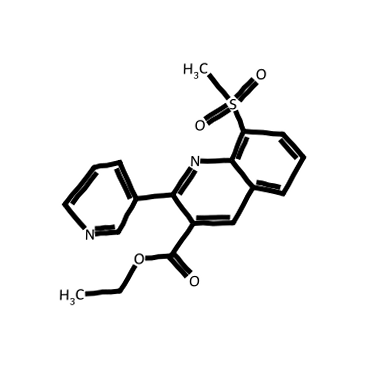 CCOC(=O)c1cc2cccc(S(C)(=O)=O)c2nc1-c1cccnc1